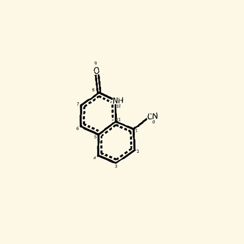 N#Cc1cccc2ccc(=O)[nH]c12